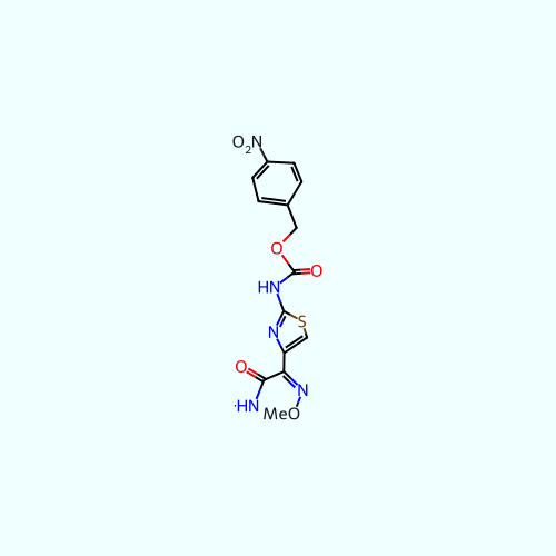 CON=C(C([NH])=O)c1csc(NC(=O)OCc2ccc([N+](=O)[O-])cc2)n1